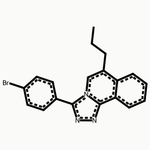 CCCc1cn2c(-c3ccc(Br)cc3)nnc2c2ccccc12